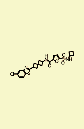 O=C(NC1CC2(C1)CC(c1nc3cc(Cl)ccc3s1)C2)c1ccc(S(=O)(=O)NC2CCC2)o1